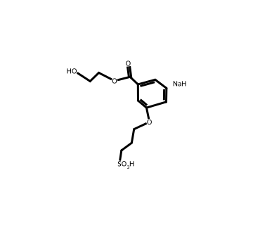 O=C(OCCO)c1cccc(OCCCS(=O)(=O)O)c1.[NaH]